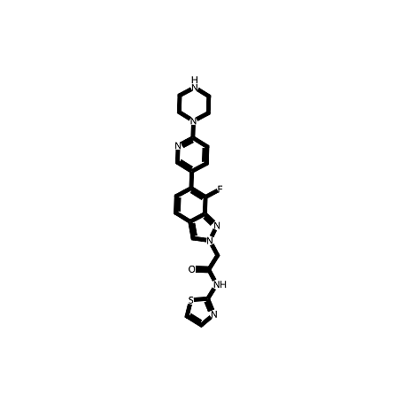 O=C(Cn1cc2ccc(-c3ccc(N4CCNCC4)nc3)c(F)c2n1)Nc1nccs1